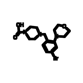 O=C(O)N1CCN(Cc2ccc(Br)cc2N2CCOCC2)CC1